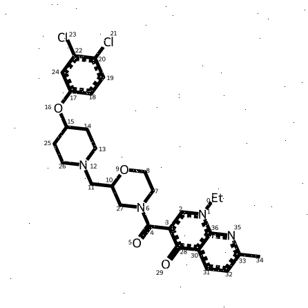 CCn1cc(C(=O)N2CCOC(CN3CCC(Oc4ccc(Cl)c(Cl)c4)CC3)C2)c(=O)c2ccc(C)nc21